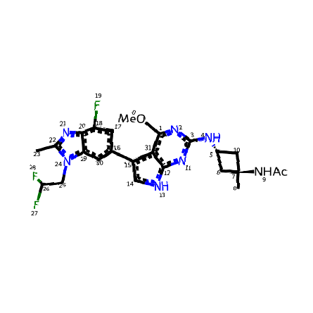 COc1nc(N[C@H]2C[C@](C)(NC(C)=O)C2)nc2[nH]cc(-c3cc(F)c4nc(C)n(CC(F)F)c4c3)c12